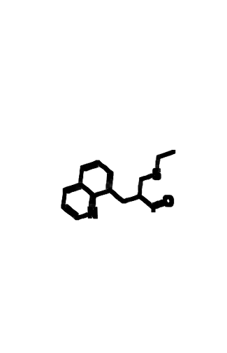 CCSCC([C]=O)Cc1cccc2cccnc12